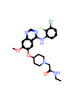 CCNC(=O)CN1CCC(Oc2cc3c(Nc4cccc(Cl)c4F)ncnc3cc2OC)CC1